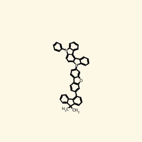 CC1(C)c2ccccc2-c2c(-c3ccc4c(c3)oc3cc(-n5c6ccccc6c6c7c8ccccc8n(-c8ccccc8)c7ccc65)ccc34)cccc21